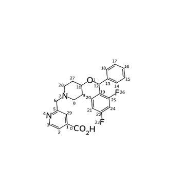 O=C(O)c1ccnc(CN2CCC(OC(c3ccccc3)c3ccc(F)cc3F)CC2)c1